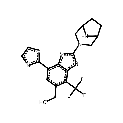 OCc1cc(-c2nccs2)c2oc(N3CC4CCC(C3)N4)nc2c1C(F)(F)F